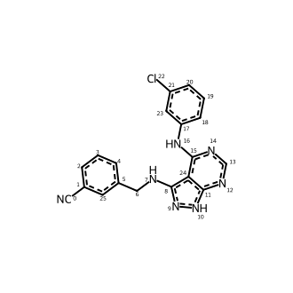 N#Cc1cccc(CNc2n[nH]c3ncnc(Nc4cccc(Cl)c4)c23)c1